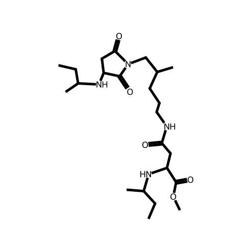 CCC(C)NC(CC(=O)NCCCC(C)CN1C(=O)CC(NC(C)CC)C1=O)C(=O)OC